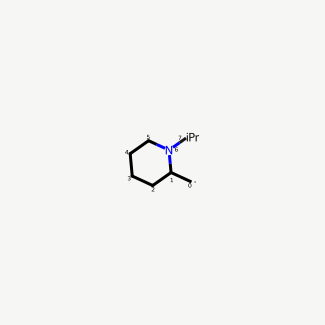 [CH2]C1CCCCN1C(C)C